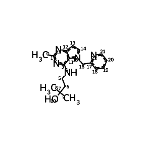 Cc1nc(NCCC(C)(C)O)c2c(ccn2Cc2ccccn2)n1